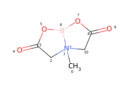 C[N+]12CC(=O)OB1OC(=O)C2